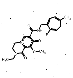 CCN1CCn2cc(C(=O)NCC3=CC=C(C)CC=C3F)c(=O)c(OC)c2C1=O